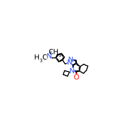 CN(C)Cc1cccc(Cn2ncc3c4c(c(=O)n(C5CCC5)c32)CCCC4)c1